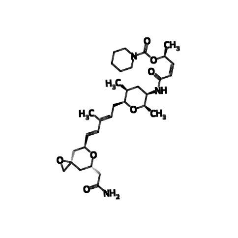 CC(/C=C/[C@@H]1C[C@@]2(CO2)C[C@@H](CC(N)=O)O1)=C\C[C@@H]1O[C@H](C)[C@H](NC(=O)/C=C\[C@H](C)OC(=O)N2CCCCC2)C[C@@H]1C